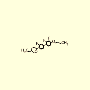 C=CC1CCC(c2ccc(-c3ccc(OCCCC)c(F)c3F)cc2F)OC1